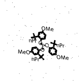 CCCC(C)(C)c1cc(OC)ccc1OP(Oc1ccc(OC)cc1C(C)(C)CCC)Oc1ccc(OC)cc1C(C)(C)CCC